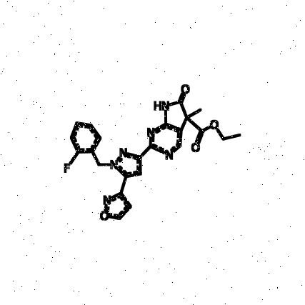 CCOC(=O)C1(C)C(=O)Nc2nc(-c3cc(-c4ccon4)n(Cc4ccccc4F)n3)ncc21